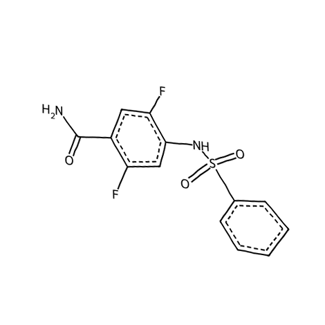 NC(=O)c1cc(F)c(NS(=O)(=O)c2ccccc2)cc1F